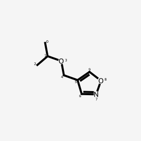 CC(C)OCc1cnoc1